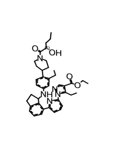 CCC[C@H](O)C(=O)N1CCC(c2ccc(NC3CCc4cccc(-c5cccc(-n6ncc(C(=O)OCC)c6CC)n5)c43)cc2CC)CC1